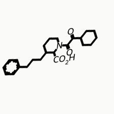 O=C(C(=O)N1CCCC(CCCc2ccccc2)C1C(=O)O)C1CCCCC1